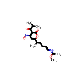 C=C(N/C=C/CCC(C)c1cc(N=O)c(C(=O)C(C)C)c(=O)o1)OC